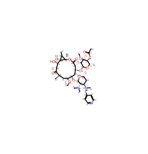 CO[C@]1(C)C[C@H](O[C@H]2[C@H](C)[C@@H](O[C@@H]3O[C@H](C)C[C@@H](N(C)Cc4ccncc4)[C@@H]3N(C)C)[C@@](C)(OC)C[C@@H](C)C(=O)[C@H](C)[C@@H](O)[C@@]3(O)C(C)[C@H]3OC(=O)[C@@H]2C)O[C@@H](C)[C@@H]1OC(C)=O